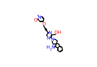 Cn1ccc(OCC#Cc2cnc(N3CCC4(CC3)Cc3ccccc3[C@H]4N)c(CO)n2)cc1=O